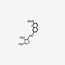 CNc1ccc2ccc(OCC3OCC(O)C3O)cc2n1